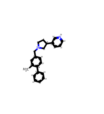 Cc1cc(CN2CCC(c3cccnc3)C2)ccc1-c1ccccc1